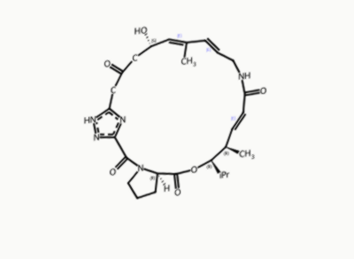 CC1=C\[C@@H](O)CC(=O)Cc2nc(n[nH]2)C(=O)N2CCC[C@@H]2C(=O)O[C@H](C(C)C)[C@H](C)/C=C/C(=O)NC\C=C\1